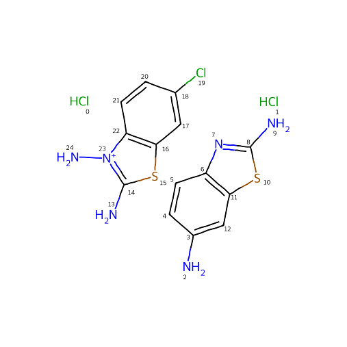 Cl.Cl.Nc1ccc2nc(N)sc2c1.Nc1sc2cc(Cl)ccc2[n+]1N